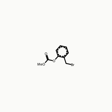 COC(=O)Oc1ccccc1CBr